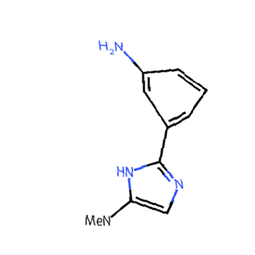 CNc1cnc(-c2cccc(N)c2)[nH]1